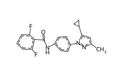 Cc1cc(C2CC2)n(-c2ccc(NC(=O)c3c(F)cccc3F)cc2)n1